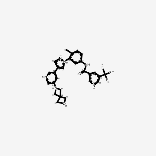 Cc1ccc(NC(=O)c2cncc(C(F)(F)F)c2)cc1-n1cc(-c2cncc(N3CC4(COC4)C3)c2)cn1